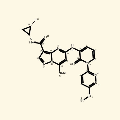 CCOc1ccc(-n2cccc(Nc3cc(NC)n4ncc(C(=O)N[C@@H]5C[C@@H]5F)c4n3)c2=O)nn1